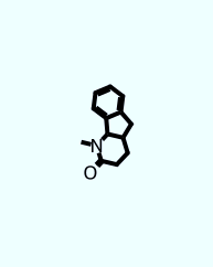 CN1C(=O)CCC2Cc3ccccc3C21